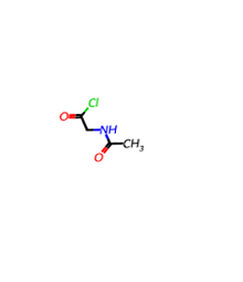 CC(=O)NCC(=O)Cl